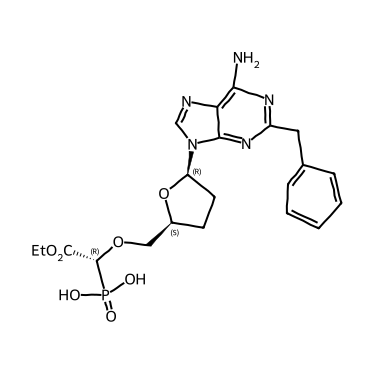 CCOC(=O)[C@H](OC[C@@H]1CC[C@H](n2cnc3c(N)nc(Cc4ccccc4)nc32)O1)P(=O)(O)O